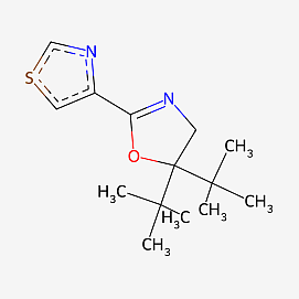 CC(C)(C)C1(C(C)(C)C)CN=C(c2cscn2)O1